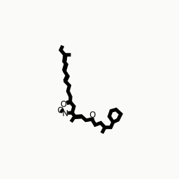 CC/C(C)=C/C=C/C=C/CCCC(=O)CC(N=O)/C(C)=C/CC(=O)CCC(C)CC1CCCCC1